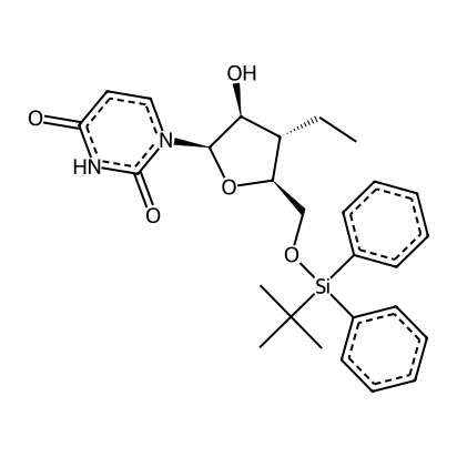 CC[C@H]1[C@H](O)[C@H](n2ccc(=O)[nH]c2=O)O[C@@H]1CO[Si](c1ccccc1)(c1ccccc1)C(C)(C)C